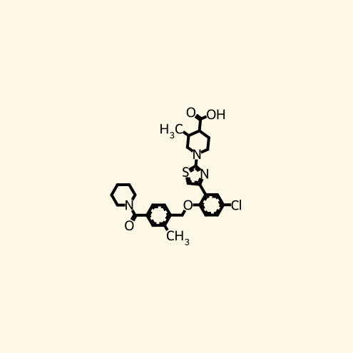 Cc1cc(C(=O)N2CCCCC2)ccc1COc1ccc(Cl)cc1-c1csc(N2CCC(C(=O)O)C(C)C2)n1